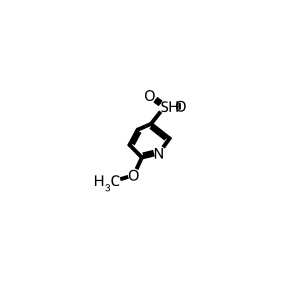 COc1ccc([SH](=O)=O)cn1